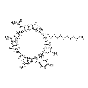 CCCCCCCCCCC[C@@H]1CC(=O)N[C@@H](CC(N)=O)C(=O)N[C@@H](Cc2ccc(O)cc2)C(=O)N[C@@H](CC(N)=O)C(=O)N[C@@H](CO)C(=O)N[C@@H](CC(N)=O)C(=O)N[C@@H](CCC(N)=O)C(=O)N2CCC[C@H]2C(=O)N1